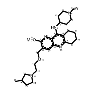 COc1nc2c(NC3CCN(C(C)C)CC3)c3c(nc2cc1COCCN1CCC(C)C1)CCCC3